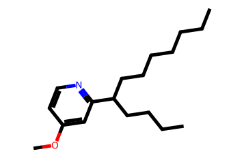 CCCCCCCC(CCCC)c1cc(OC)ccn1